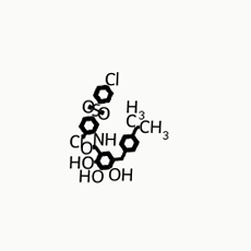 CC(C)c1ccc(Cc2cc(C(=O)Nc3cc(S(=O)(=O)c4ccc(Cl)cc4)ccc3Cl)c(O)c(O)c2O)cc1